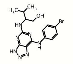 CC(C)C(CO)Nc1nc(Nc2ccc(Br)cc2)c2nn[nH]c2n1